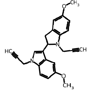 C#CCN1c2ccc(OC)cc2CC1c1cn(CC#C)c2ccc(OC)cc12